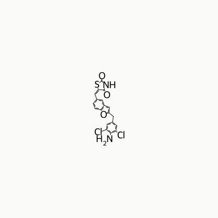 Nc1c(Cl)cc(Cc2cc3cc(C=C4SC(=O)NC4=O)ccc3o2)cc1Cl